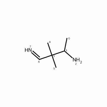 CC(N)C(C)(C)C=N